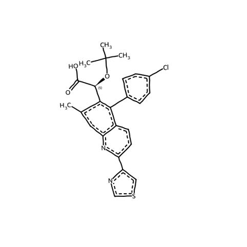 Cc1cc2nc(-c3cscn3)ccc2c(-c2ccc(Cl)cc2)c1[C@H](OC(C)(C)C)C(=O)O